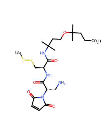 CC(C)(CCOC(C)(C)CCC(=O)O)NC(=O)[C@H](CSSC(C)(C)C)NC(=O)[C@H](CN)N1C(=O)C=CC1=O